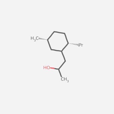 CC(O)C[C]1C[C@H](C)CC[C@@H]1C(C)C